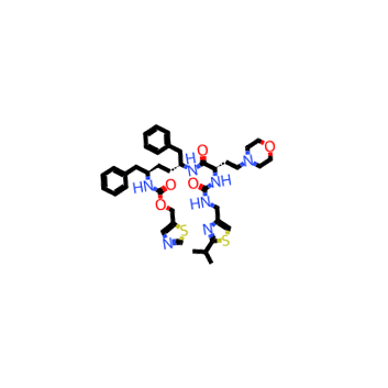 CC(C)c1nc(CNC(=O)N[C@@H](CCN2CCOCC2)C(=O)N[C@H](CC[C@H](Cc2ccccc2)NC(=O)OCc2cncs2)Cc2ccccc2)cs1